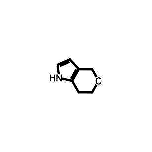 c1cc2c([nH]1)CCOC2